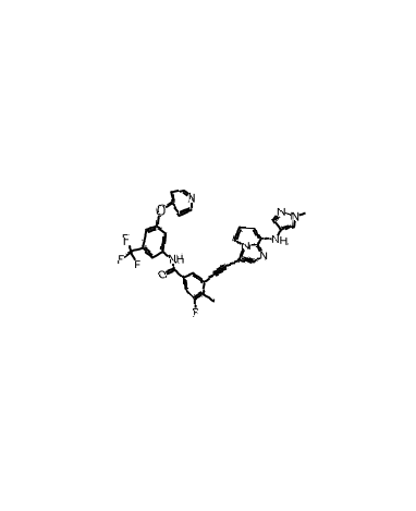 Cc1c(F)cc(C(=O)Nc2cc(Oc3ccncc3)cc(C(F)(F)F)c2)cc1C#Cc1cnc2c(Nc3cnn(C)c3)cccn12